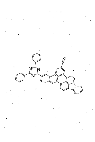 N#Cc1cccc(-c2ccc3c4c(ccc(-c5ccc6cc(-c7nc(-c8ccccc8)nc(-c8ccccc8)n7)ccc6c5)c24)-c2ccccc2-3)c1